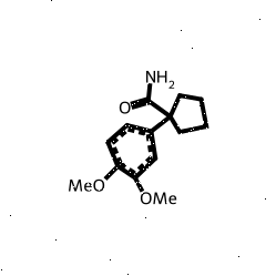 COc1ccc(C2(C(N)=O)CCCC2)cc1OC